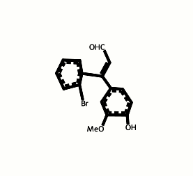 COc1cc(C(=CC=O)c2ccccc2Br)ccc1O